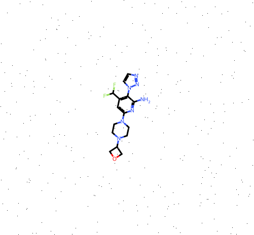 Nc1nc(N2CCN(C3COC3)CC2)cc(C(F)F)c1-n1ccnn1